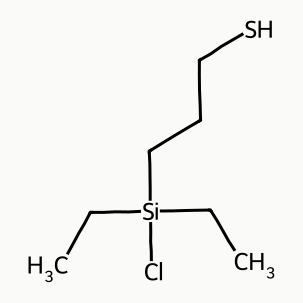 CC[Si](Cl)(CC)CCCS